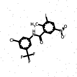 Cc1c(I)cc([N+](=O)[O-])cc1C(=O)Nc1cc(Cl)cc(C(F)(F)F)c1